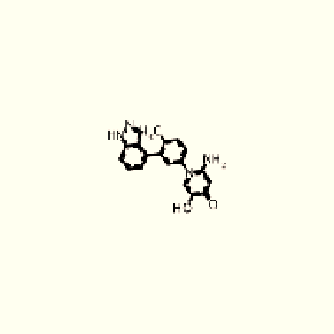 Cc1ccc(-n2cc(O)c(=O)cc2N)cc1-c1cccc2[nH]ncc12